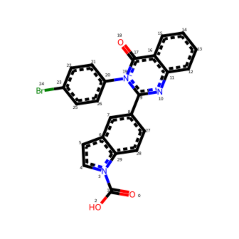 O=C(O)n1ccc2cc(-c3nc4ccccc4c(=O)n3-c3ccc(Br)cc3)ccc21